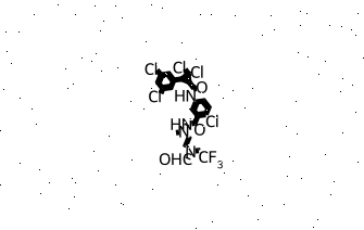 CN(CCN(C=O)CC(F)(F)F)NC(=O)c1cc(NC(=O)C2C(c3cc(Cl)cc(Cl)c3)C2(Cl)Cl)ccc1Cl